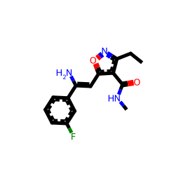 CCc1noc(/C=C(\N)c2cccc(F)c2)c1C(=O)NC